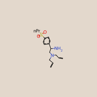 C=CCN(CC=C)CC(N)c1ccc(S(=O)(=O)CCC)cc1